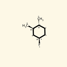 C[C@@H]1CC[C@@H](F)C[C@H]1C